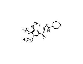 COc1cc(C(=O)c2csc(C3CCCCCC3)n2)cc(OC)c1OC